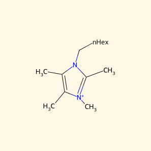 CCCCCCCn1c(C)c(C)[n+](C)c1C